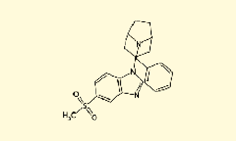 CS(=O)(=O)c1ccc2c(c1)ncn2C1CC2CCC(C1)N2Cc1ccccc1